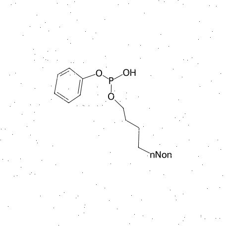 CCCCCCCCCCCCCOP(O)Oc1ccccc1